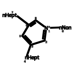 CCCCCCCCC[n+]1cc(CCCCCCC)cc(CCCCCCC)c1